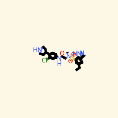 CCc1cc(S(=O)(=O)N(C)CC(=O)Nc2ccc(C3CCNCC3)c(Cl)c2)c2[nH]ncc2c1